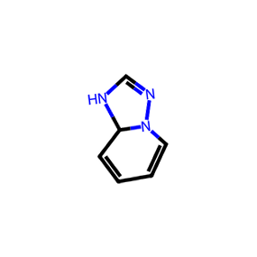 C1=CC2NC=NN2C=C1